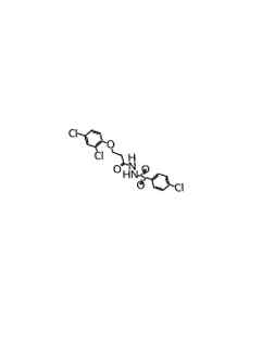 O=C(CCOc1ccc(Cl)cc1Cl)NNS(=O)(=O)c1ccc(Cl)cc1